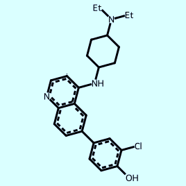 CCN(CC)C1CCC(Nc2[c]cnc3ccc(-c4ccc(O)c(Cl)c4)cc23)CC1